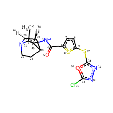 C[C@H]1[C@H](NC(=O)c2ccc(Sc3nnc(Cl)o3)s2)C2CCN1CC2